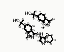 Cn1nc(I)c2ccc(C(C)(C)O)cc21.Cn1nc(Nc2cnn3c2OCCC3)c2ccc(C(C)(C)O)cc21